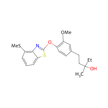 CCC(C)(O)CCc1ccc(Oc2nc3c(SC)cccc3s2)c(OC)c1